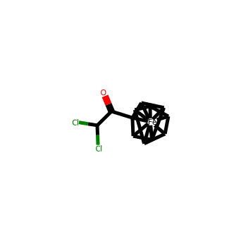 O=C(C(Cl)Cl)[C]12[CH]3[CH]4[CH]5[CH]1[Fe]45321678[CH]2[CH]1[CH]6[CH]7[CH]28